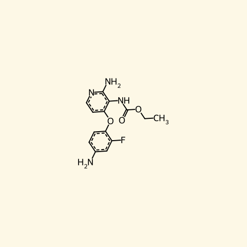 CCOC(=O)Nc1c(Oc2ccc(N)cc2F)ccnc1N